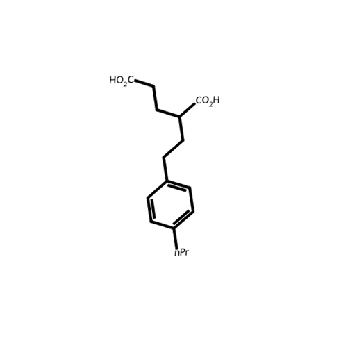 CCCc1ccc(CCC(CCC(=O)O)C(=O)O)cc1